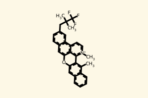 Cc1c2c(cc3ccccc13)Oc1cc3ccc(CC(C)(C)C(F)(F)F)cc3c3cc[n+](C)c-2c13